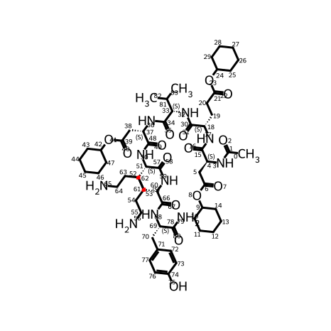 CC(=O)N[C@@H](CC(=O)OC1CCCCC1)C(=O)N[C@@H](CCC(=O)OC1CCCCC1)C(=O)N[C@H](C(=O)N[C@@H](CC(=O)OC1CCCCC1)C(=O)N[C@@H](CCCCN)C(=O)N[C@@H](CCCCN)C(=O)N[C@@H](Cc1ccc(O)cc1)C(N)=O)C(C)C